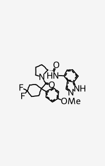 COc1ccc(C2(C(=O)N3CCC[C@@H]3C(=O)Nc3cccc4[nH]ncc34)CCC(F)(F)CC2)cc1